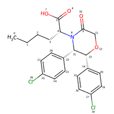 CCCC[C@H](C(=O)O)N1C(=O)CO[C@H](c2ccc(Cl)cc2)[C@@H]1c1ccc(Cl)cc1